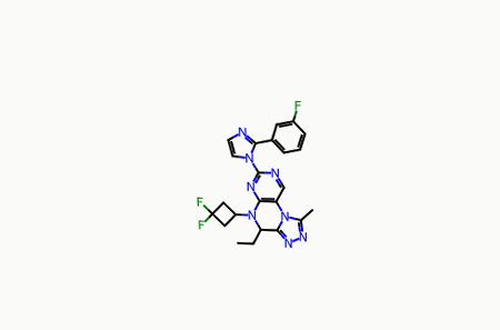 CCC1c2nnc(C)n2-c2cnc(-n3ccnc3-c3cccc(F)c3)nc2N1C1CC(F)(F)C1